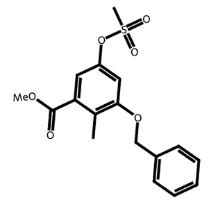 COC(=O)c1cc(OS(C)(=O)=O)cc(OCc2ccccc2)c1C